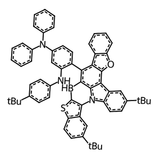 CC(C)(C)c1ccc(Nc2cc(N(c3ccccc3)c3ccccc3)ccc2-c2c3c4c(c5cc(C(C)(C)C)ccc5n4-c4c(sc5ccc(C(C)(C)C)cc45)B3)c3oc4ccccc4c23)cc1